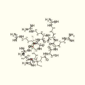 CCC(C)(CCC(=O)N[C@H](CS)C(=O)N[C@H](CCCNC(=N)N)C(=O)N[C@H](CCCNC(=N)N)C(=O)N[C@H](CCCNC(=N)N)C(=O)N[C@H](CCCNC(=N)N)C(=O)N[C@H](CCCNC(=N)N)C(=O)N[C@@H](C)CCCNC(=N)N)OCCC(C)(C)OC